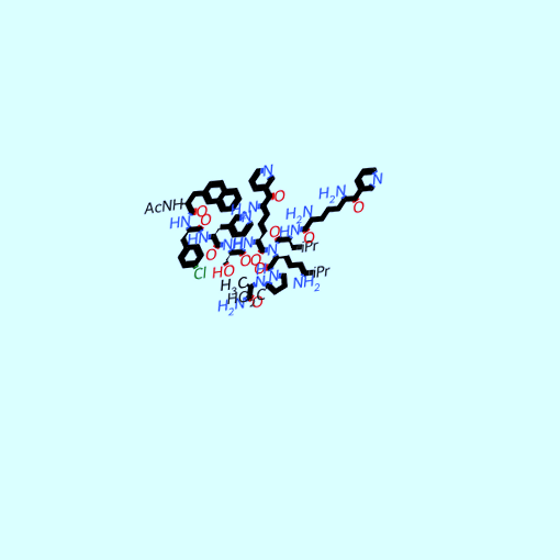 CC(=O)N[C@H](Cc1ccc2ccccc2c1)C(=O)N[C@H](Cc1ccc(Cl)cc1)C(=O)N[C@H](Cc1cccnc1)C(=O)N[C@@H](CO)C(=O)N[C@@H](CCCC(N)C(=O)c1cccnc1)C(=O)N(C(=O)[C@H](CC(C)C)NC(=O)[C@H](N)CCCC(N)C(=O)c1cccnc1)[C@@H](CCCC(N)C(C)C)C(=O)N1CCC[C@]1(N[C@H](C)C(N)=O)C(=O)O